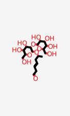 CC(CC=CCC=O)OC1OC(CO)C(O)C(O)C1OC1OC(CO)C(O)C(O)C1O